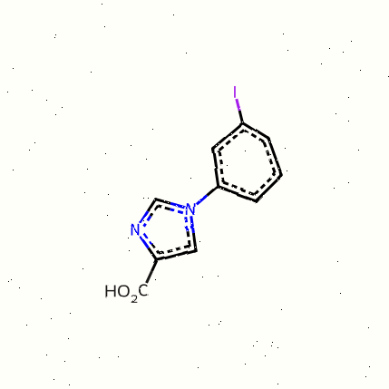 O=C(O)c1cn(-c2cccc(I)c2)cn1